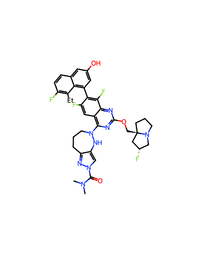 CCc1c(F)ccc2cc(O)cc(-c3c(F)cc4c(N5CCCc6nn(C(=O)N(C)C)cc6N5)nc(OC[C@@]56CCCN5C[C@H](F)C6)nc4c3F)c12